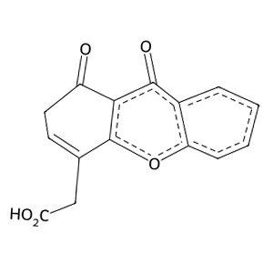 O=C(O)CC1=CCC(=O)c2c1oc1ccccc1c2=O